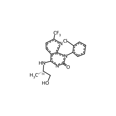 C[C@@H](CO)Nc1nc(=O)n(-c2ccccc2Cl)c2nc(C(F)(F)F)ccc12